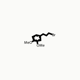 COc1ccc(CCCBr)cc1OC